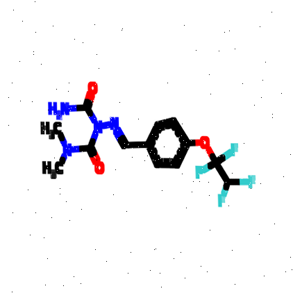 CN(C)C(=O)N(/N=C/c1ccc(OC(F)(F)C(F)F)cc1)C(N)=O